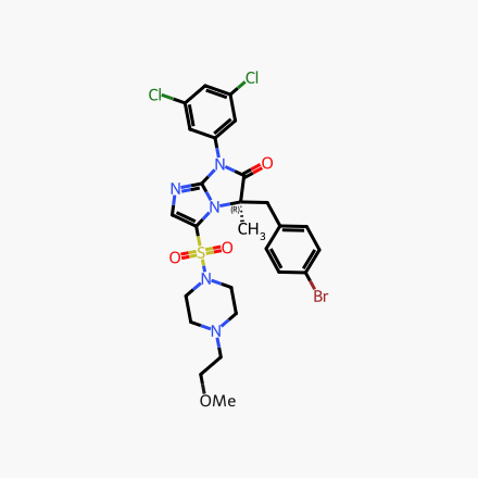 COCCN1CCN(S(=O)(=O)c2cnc3n2[C@](C)(Cc2ccc(Br)cc2)C(=O)N3c2cc(Cl)cc(Cl)c2)CC1